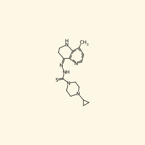 Cc1ccnc2c1NCC/C2=N/NC(=S)N1CCN(C2CC2)CC1